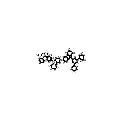 CC1(C)c2ccccc2-c2cc(N3c4ccccc4C4C=C(c5ccc6c(c5)c5ccccc5n6-c5cc(C6=CCCC=C6)cc(-c6ccccc6)c5)C=CC43)ccc21